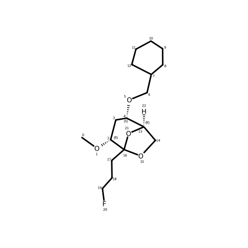 CO[C@@H]1C[C@H](OCC2CCCCC2)[C@H]2COC1(CCCF)O2